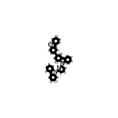 c1cc(-n2c3ccccc3c3ccccc32)nc(-n2c3ccccc3c3cc(-c4ccc5oc6ccccc6c5c4)ccc32)c1